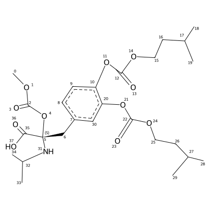 COC(=O)O[C@](Cc1ccc(OC(=O)OCCC(C)C)c(OC(=O)OCCC(C)C)c1)(NC(C)C)C(=O)O